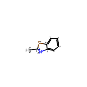 [Hg][c]1nc2ccccc2s1